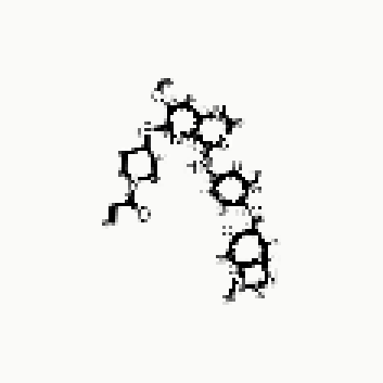 C=CC(=O)N1CCC(Sc2nc3c(Nc4ccc(Oc5ccc6c(c5)ncn6C)c(C)c4)ncnc3cc2OC)CC1